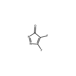 O=C1N=NC(F)=C1F